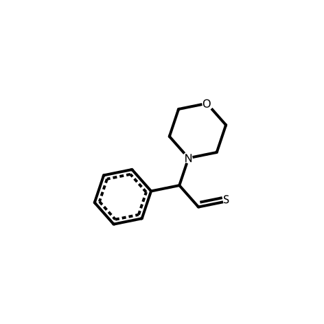 S=CC(c1ccccc1)N1CCOCC1